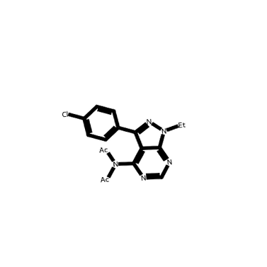 CCn1nc(-c2ccc(Cl)cc2)c2c(N(C(C)=O)C(C)=O)ncnc21